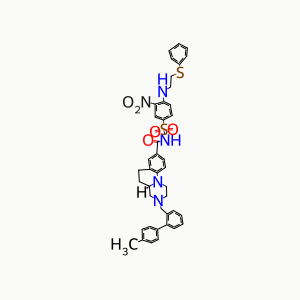 Cc1ccc(-c2ccccc2CN2CCN3c4ccc(C(=O)NS(=O)(=O)c5ccc(NCCSc6ccccc6)c([N+](=O)[O-])c5)cc4CC[C@H]3C2)cc1